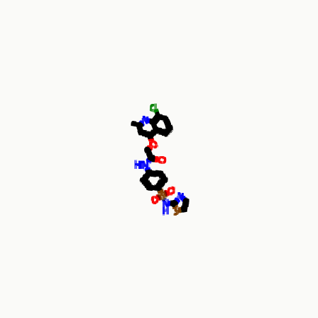 Cc1cc(OCC(=O)Nc2ccc(S(=O)(=O)Nc3nccs3)cc2)c2cccc(Cl)c2n1